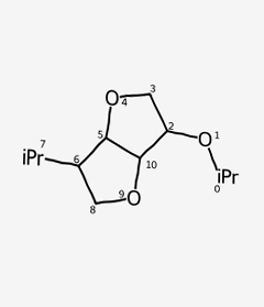 CC(C)OC1COC2C(C(C)C)COC12